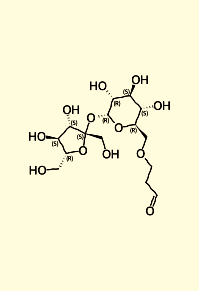 O=CCCOC[C@H]1O[C@H](O[C@]2(CO)O[C@H](CO)[C@@H](O)[C@@H]2O)[C@H](O)[C@@H](O)[C@@H]1O